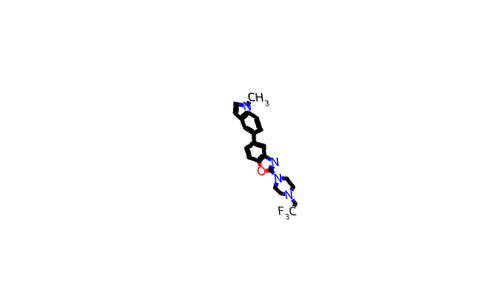 Cn1ccc2cc(-c3ccc4oc(N5CCN(CC(F)(F)F)CC5)nc4c3)ccc21